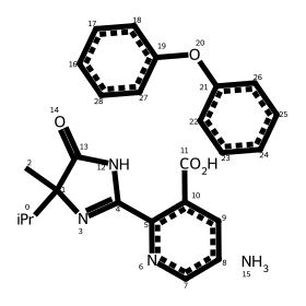 CC(C)C1(C)N=C(c2ncccc2C(=O)O)NC1=O.N.c1ccc(Oc2ccccc2)cc1